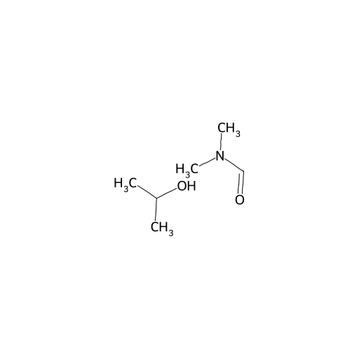 CC(C)O.CN(C)C=O